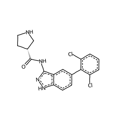 O=C(Nc1n[nH]c2ccc(-c3c(Cl)cccc3Cl)cc12)[C@@H]1CCNC1